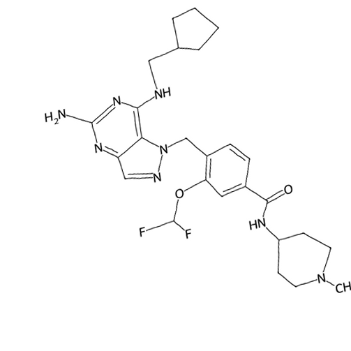 CN1CCC(NC(=O)c2ccc(Cn3ncc4nc(N)nc(NCC5CCCC5)c43)c(OC(F)F)c2)CC1